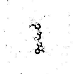 Cc1nc2c(c3c1CCC3)CN(C(=O)CC1CN(c3ccnc(C(F)F)c3)C1)C2